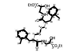 CCOC(=O)C(O)CNC(=O)[C@@H](CSSC[C@@H](Cc1ccccc1C)C(=O)NC[C@H](O)C(=O)OCC)Cc1ccccc1C